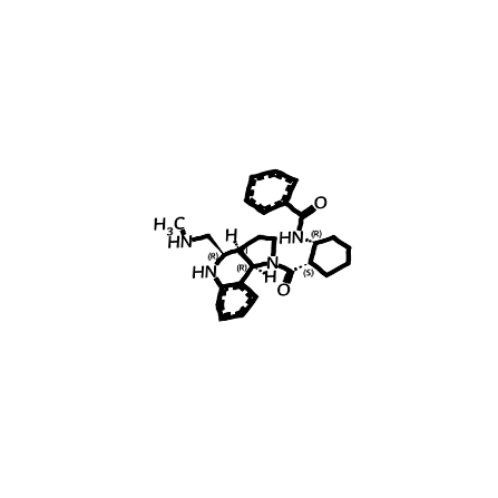 CNC[C@@H]1Nc2ccccc2[C@H]2[C@@H]1CCN2C(=O)[C@H]1CCCC[C@H]1NC(=O)c1ccccc1